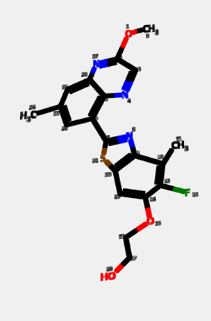 COc1cnc2c(-c3nc4c(C)c(F)c(OCCO)cc4s3)cc(C)cc2n1